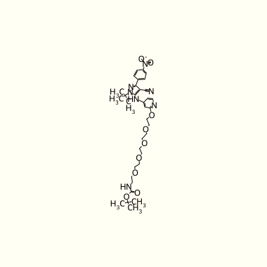 CC(C)(C)OC(=O)NCCOCCOCCOCCOCCOc1cc(Nc2c(C#N)c(-c3ccc([N+](=O)[O-])cc3)nn2C(C)(C)C)ccn1